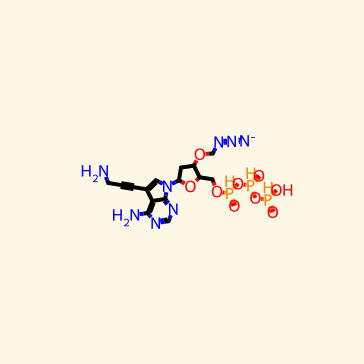 [N-]=[N+]=NCOC1CC(n2cc(C#CCN)c3c(N)ncnc32)OC1CO[PH](=O)O[PH](=O)O[PH](=O)O